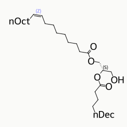 CCCCCCCC/C=C\CCCCCCCC(=O)OC[C@H](CO)OC(=O)CCCCCCCCCCCCC